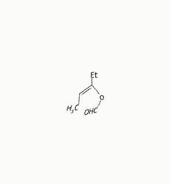 CC=C(CC)OC=O